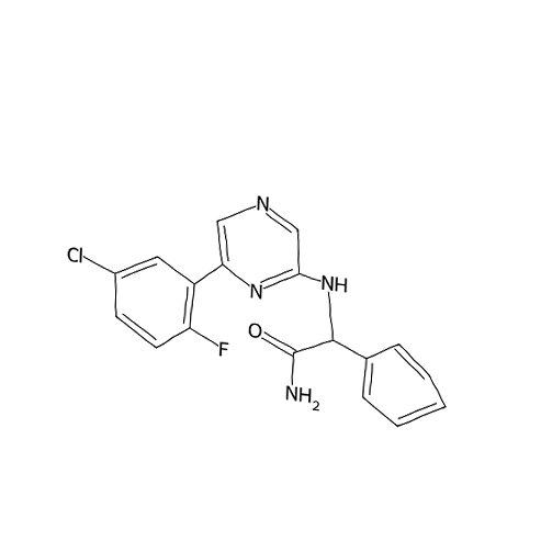 NC(=O)C(Nc1cncc(-c2cc(Cl)ccc2F)n1)c1ccccc1